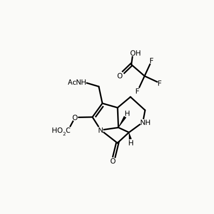 CC(=O)NCC1=C(OC(=O)O)N2C(=O)[C@H]3NCCC1[C@H]32.O=C(O)C(F)(F)F